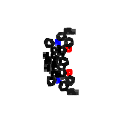 Cc1ccccc1N(c1ccc(C(C)(C)C)cc1)c1cc2c(c3oc4ccccc4c13)-c1ccc3c(c1C2(C)C)C(C)(C)c1cc(N(c2ccc(C(C)(C)C)cc2)c2ccccc2C)c2c(oc4ccccc42)c1-3